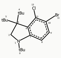 CC(C)(C)N1CC(C(C)(C)C)(C(C)(C)C)c2c1ccc(Br)c2Cl